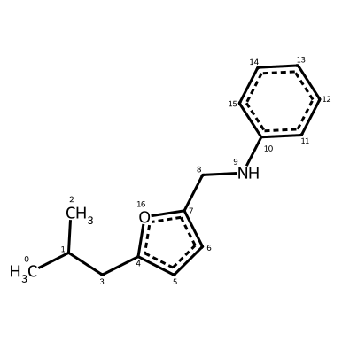 CC(C)Cc1ccc(CNc2ccccc2)o1